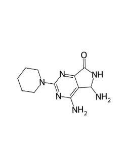 Nc1nc(N2CCCCC2)nc2c1C(N)NC2=O